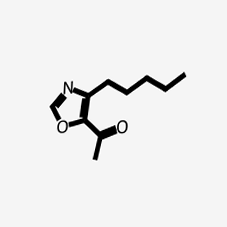 CCCCCc1ncoc1C(C)=O